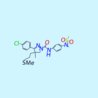 CSCCCC1(C)CN(C(=O)Nc2ccc(N(C)S(C)(=O)=O)cc2)N=C1c1ccc(Cl)cc1